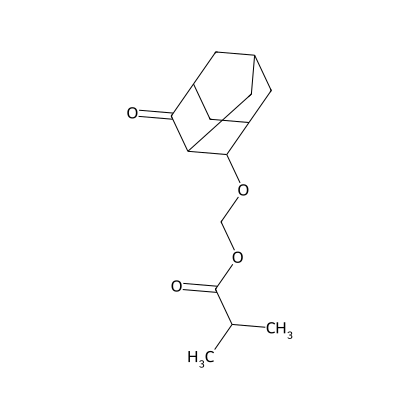 CC(C)C(=O)OCOC1C2CC3CC(C2)C(=O)C1C3